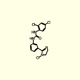 O=C(Nc1cccc(C2=NCCN2Cl)c1)Nc1ccc(Cl)cc1Cl